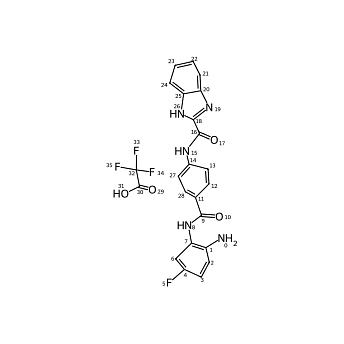 Nc1ccc(F)cc1NC(=O)c1ccc(NC(=O)c2nc3ccccc3[nH]2)cc1.O=C(O)C(F)(F)F